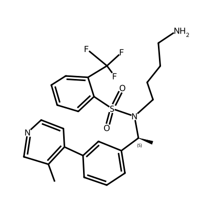 Cc1cnccc1-c1cccc([C@H](C)N(CCCCN)S(=O)(=O)c2ccccc2C(F)(F)F)c1